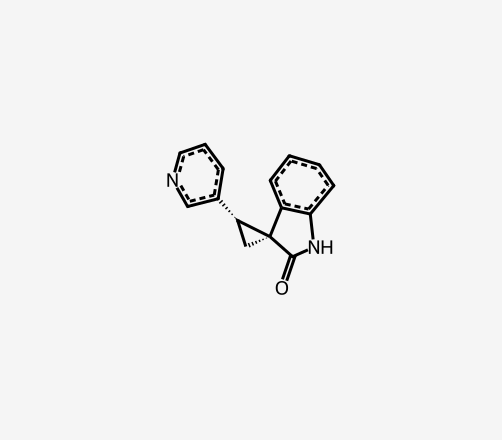 O=C1Nc2ccccc2[C@@]12C[C@@H]2c1cccnc1